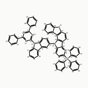 c1ccc(-c2nc(-c3ccccc3)nc(-n3c4ccccc4c4cc(-n5c6ccc([Si](c7ccccc7)(c7ccccc7)c7ccccc7)nc6c6ccc7sc8ccccc8c7c65)ccc43)n2)cc1